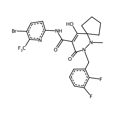 CN1N(Cc2cccc(F)c2F)C(=O)C(C(=O)Nc2ccc(Br)c(C(F)(F)F)n2)=C(O)C12CCCC2